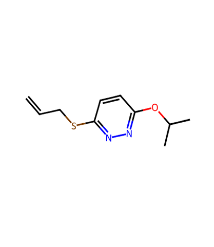 C=CCSc1ccc(OC(C)C)nn1